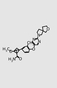 COC12CC(c3ccc(Oc4cnc(N5CCC6(CCOC6)C5)nc4)c(C)c3)(C1)C2C(N)=O